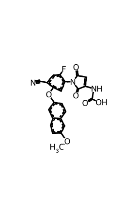 COc1ccc2cc(Oc3cc(N4C(=O)C=C(NC(=O)O)C4=O)c(F)cc3C#N)ccc2c1